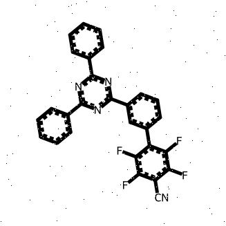 N#Cc1c(F)c(F)c(-c2cccc(-c3nc(-c4ccccc4)nc(-c4ccccc4)n3)c2)c(F)c1F